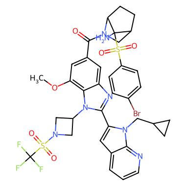 COc1cc(C(=O)N2CC3CCC2C3(N)S(=O)(=O)c2ccc(Br)cc2)cc2nc(-c3cc4cccnc4n3CC3CC3)n(C3CN(S(=O)(=O)C(F)(F)F)C3)c12